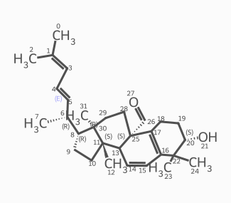 CC(C)=C/C=C/[C@@H](C)[C@H]1CC[C@@]2(C)C3C=CC4=C(CC[C@H](O)C4(C)C)[C@]3(C=O)CC[C@]12C